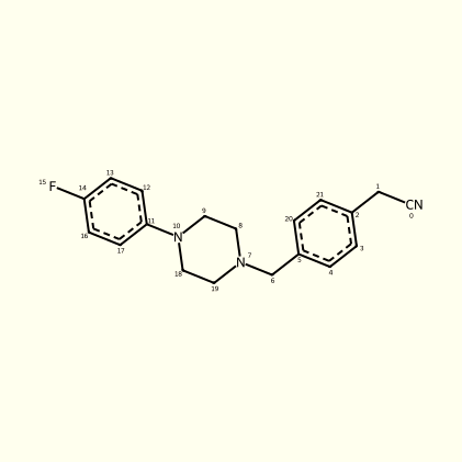 N#CCc1ccc(CN2CCN(c3ccc(F)cc3)CC2)cc1